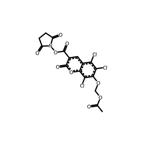 CC(=O)OCOc1c(Cl)c(Cl)c2cc(C(=O)ON3C(=O)CCC3=O)c(=O)oc2c1Cl